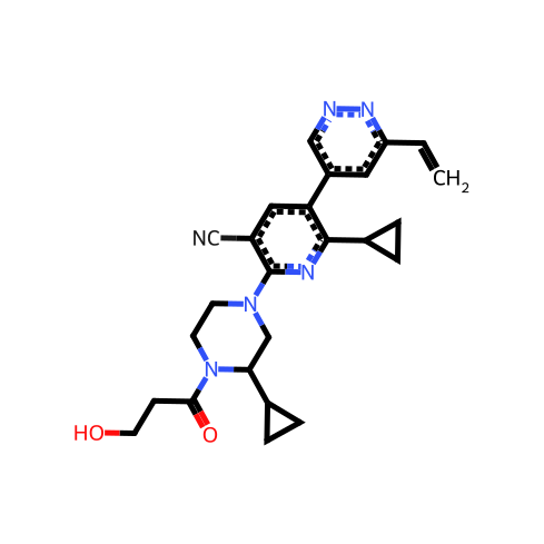 C=Cc1cc(-c2cc(C#N)c(N3CCN(C(=O)CCO)C(C4CC4)C3)nc2C2CC2)cnn1